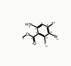 COC(=O)c1c(N)cc(F)c(Br)c1F